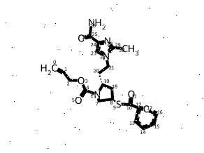 C=CCOC(=O)N1C[C@@H](SC(=O)c2ccccc2)C[C@H]1CCn1cc(C(N)=O)nc1C